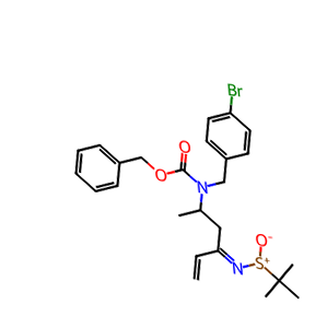 C=C/C(CC(C)N(Cc1ccc(Br)cc1)C(=O)OCc1ccccc1)=N/[S+]([O-])C(C)(C)C